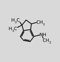 CNc1cccc2c1C(C)CC2(C)C